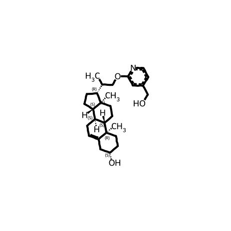 CC(COc1cc(CO)ccn1)[C@H]1CC[C@H]2[C@@H]3CC=C4C[C@@H](O)CC[C@]4(C)[C@H]3CC[C@]12C